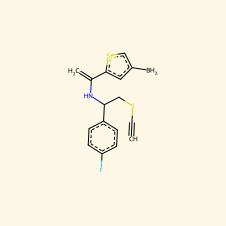 Bc1csc(C(=C)NC(CSC#C)c2ccc(F)cc2)c1